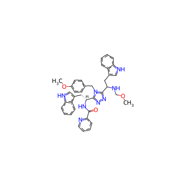 COCNC(Cc1c[nH]c2ccccc12)c1nnc([C@@H](Cc2c[nH]c3ccccc23)NC(=O)c2ccccn2)n1Cc1ccc(OC)cc1